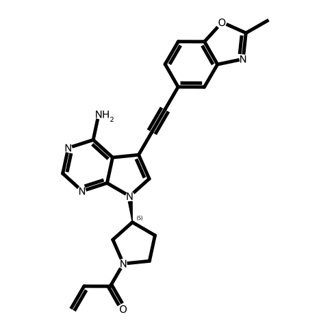 C=CC(=O)N1CC[C@H](n2cc(C#Cc3ccc4oc(C)nc4c3)c3c(N)ncnc32)C1